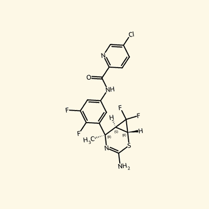 C[C@@]1(c2cc(NC(=O)c3ccc(Cl)cn3)cc(F)c2F)N=C(N)S[C@@H]2[C@@H]1C2(F)F